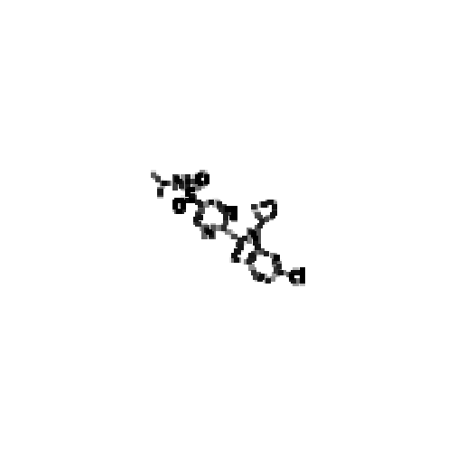 CC(C)NS(=O)(=O)c1cnc(-c2cc3ccc(Cl)cc3n2C2CCC2)nc1